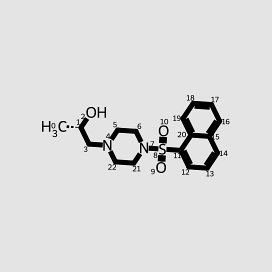 C[C@H](O)CN1CCN(S(=O)(=O)c2cccc3ccccc23)CC1